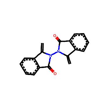 C=C1c2ccccc2C(=O)N1N1C(=C)c2ccccc2C1=O